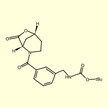 CC(C)(C)OC(=O)NCc1cccc(C(=O)N2CC[C@@H]3C[C@H]2C(=O)O3)c1